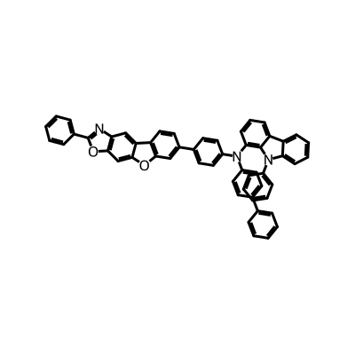 c1ccc(-c2ccc(N(c3ccc(-c4ccc5c(c4)oc4cc6oc(-c7ccccc7)nc6cc45)cc3)c3cccc4c5ccccc5n(-c5ccccc5)c34)cc2)cc1